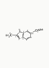 [CH2]c1cc2ccc(OC)cc2s1